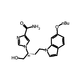 CCCCOc1ccc2ccn(CC[C@H](CO)n3cnc(C(N)=O)c3)c2c1